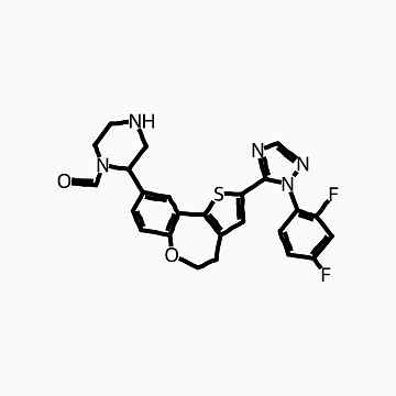 O=CN1CCNCC1c1ccc2c(c1)-c1sc(-c3ncnn3-c3ccc(F)cc3F)cc1CCO2